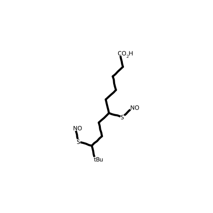 CC(C)(C)C(CCC(CCCCC(=O)O)SN=O)SN=O